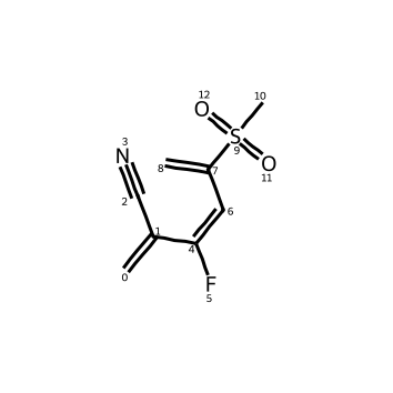 C=C(C#N)/C(F)=C\C(=C)S(C)(=O)=O